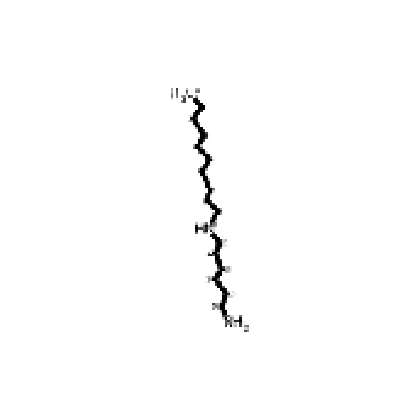 CCCCCCCCCCNCCCCCCN